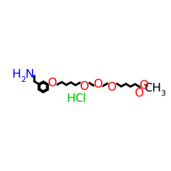 COC(=O)CCCCCOCCOCCOCCCCCCOc1cccc(CCN)c1.Cl